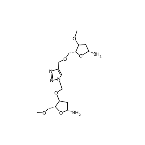 B[C@H]1CC(OC)[C@@H](COCc2cn(COC3C[C@H](B)O[C@@H]3COC)nn2)O1